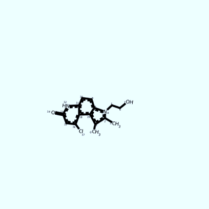 Cc1c(C)n(CCO)c2ccc3[nH]c(=O)cc(Cl)c3c12